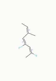 C\C=C(C)/C=C(F)\C=C(/C)F